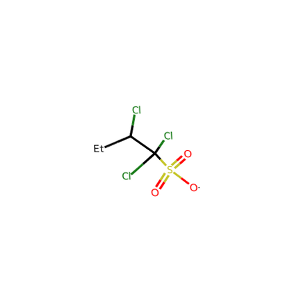 CCC(Cl)C(Cl)(Cl)S([O])(=O)=O